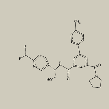 Cc1ccc(-c2cc(C(=O)N[C@H](CO)c3ccc(C(F)F)nc3)cc(C(=O)N3CCCC3)c2)cc1